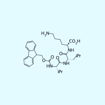 CC(C)C[C@H](NC(=O)[C@@H](NC(=O)OCC1c2ccccc2-c2ccccc21)C(C)C)C(=O)N[C@@H](CCCCN)C(=O)O